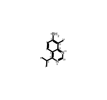 Bc1ccc2c(C(C)C)ncnc2c1C